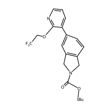 CC(C)(C)OC(=O)N1Cc2ccc(-c3cccnc3OCC(F)(F)F)cc2C1